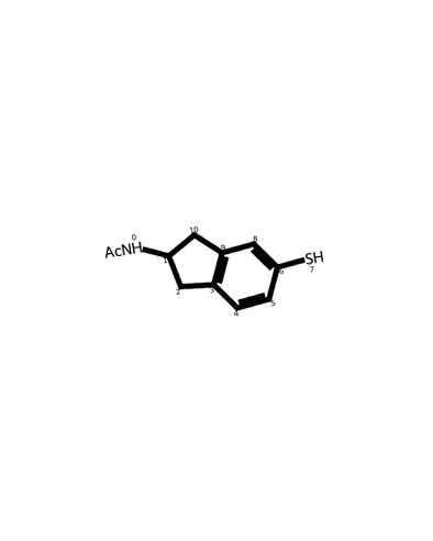 CC(=O)NC1Cc2ccc(S)cc2C1